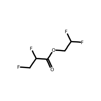 O=C(OCC(F)F)C(F)CF